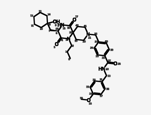 CCCN1C(=O)[C@@H](CC2(O)CCCCC2)NC(=O)C12CCN(Cc1ccc(C(=O)NCc3ccc(OC)cc3)cc1)CC2